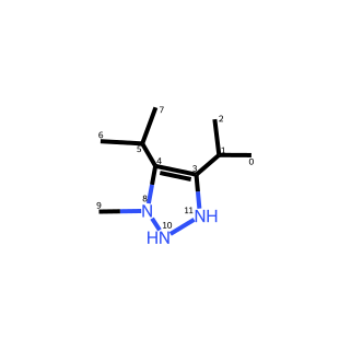 CC(C)C1=C(C(C)C)N(C)NN1